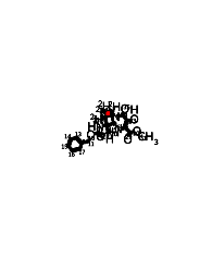 [2H]C([2H])([2H])n1c(C(NC(=O)OCc2ccccc2)(C([2H])([2H])[2H])C([2H])([2H])[2H])nc(C(=O)OC)c(O)c1=O